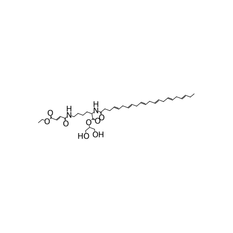 CCC=CCC=CCC=CCC=CCC=CCC=CCCC(=O)NC(CCCCNC(=O)C=CC(=O)OCC)C(=O)OC(CO)CO